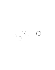 O=C1CCC2C1C2C(=O)OCCCc1ccccc1